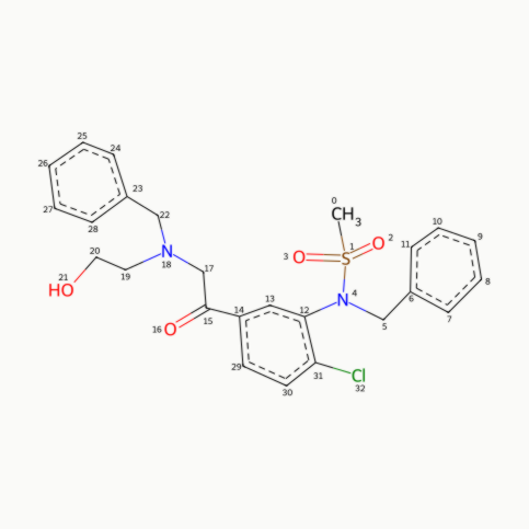 CS(=O)(=O)N(Cc1ccccc1)c1cc(C(=O)CN(CCO)Cc2ccccc2)ccc1Cl